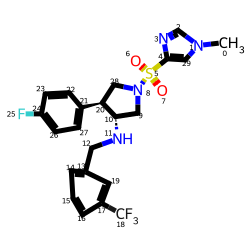 Cn1cnc(S(=O)(=O)N2C[C@H](NCc3cccc(C(F)(F)F)c3)[C@@H](c3ccc(F)cc3)C2)c1